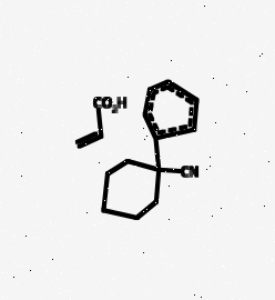 C=CC(=O)O.N#CC1(c2ccccc2)CCCCC1